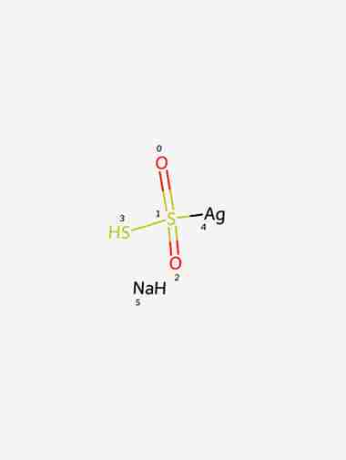 O=[S](=O)(S)[Ag].[NaH]